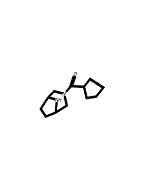 O=C(C1CCCC1)N1CC2CCC(C1)N2